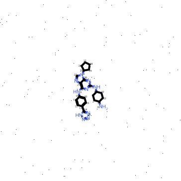 NC1CCC(Nc2nc(Nc3ccc(-c4nnn[nH]4)cc3)c3ncn(C4CCCC4)c3n2)CC1